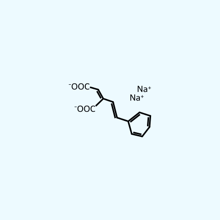 O=C([O-])/C=C(/C=C/c1ccccc1)C(=O)[O-].[Na+].[Na+]